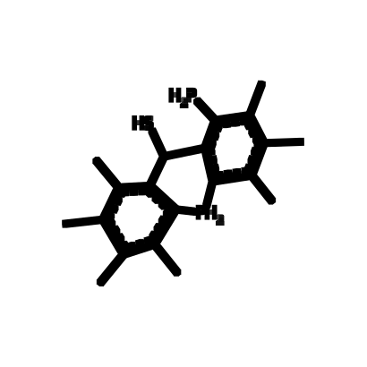 Cc1c(C)c(C)c(C(S)c2c(C)c(C)c(C)c(C)c2P)c(P)c1C